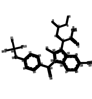 CCC(C)C[C@@H](C(=O)O)c1c(C)n(C(=O)c2ccc(OC(F)(F)F)cc2)c2ccc(O)cc12